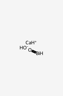 [CaH+].[OH-].[O]=[BiH]